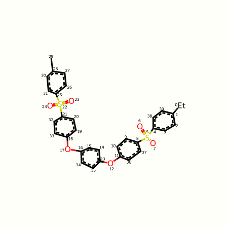 CCc1ccc(S(=O)(=O)c2ccc(Oc3ccc(Oc4ccc(S(=O)(=O)c5ccc(C)cc5)cc4)cc3)cc2)cc1